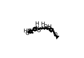 CC1CC(=O)NN=C1c1ccc(NC(=O)CCNCC(O)COc2ccc(CCOCC3CC3)cc2)cc1